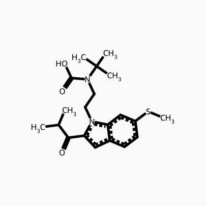 CSc1ccc2cc(C(=O)C(C)C)n(CCN(C(=O)O)C(C)(C)C)c2c1